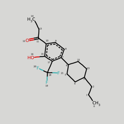 CCCC1CCC(c2ccc(C(=O)CC)c(O)c2C(F)(F)F)CC1